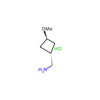 CO[C@H]1C[C@H](CN)C1.Cl